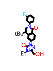 CCn1c(CO)nn(-c2ccc3c(=O)n(-c4cccc(F)c4)cc(C(C)(C)C)c3c2)c1=O